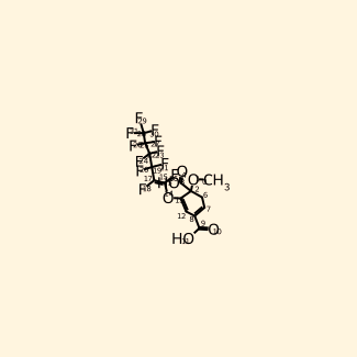 COC1(C(=O)O)CC=C(C(=O)O)C=C1OC(F)=C(F)C(F)(F)C(F)(F)C(F)(F)C(F)(F)F